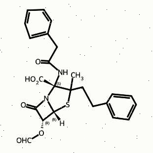 CC1(CCc2ccccc2)S[C@@H]2[C@H](OC=O)C(=O)N2[C@@]1(NC(=O)Cc1ccccc1)C(=O)O